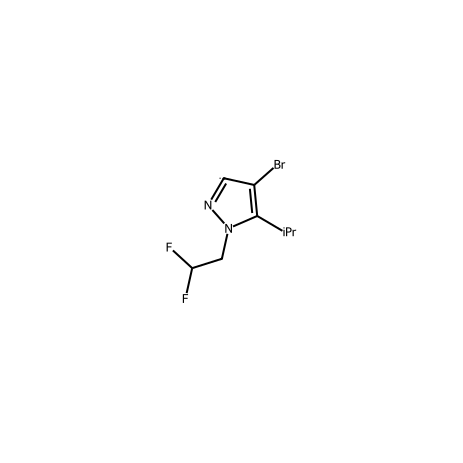 CC(C)c1c(Br)[c]nn1CC(F)F